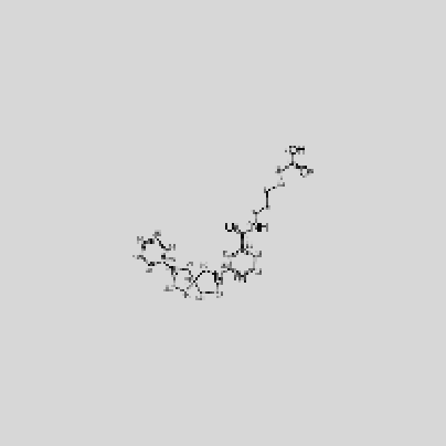 O=C(O)CCCCCNC(=O)c1ccnc(N2CCC3(CCN(c4ccccc4)C3)C2)c1